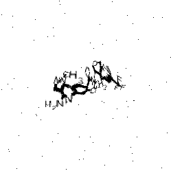 CN(C(=O)c1cc2c(cc1Cl)nc(N)c1cnn(C)c12)[C@@H]1COCc2nc(C(F)(F)F)ccc21